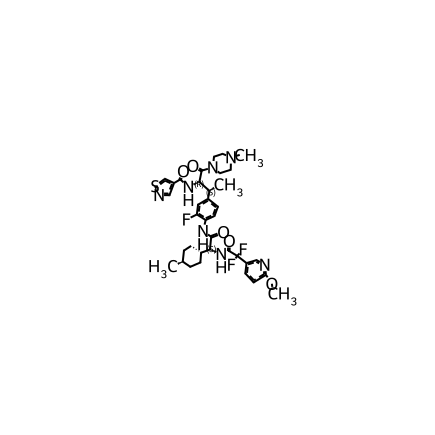 COc1ccc(C(F)(F)C(=O)N[C@H](C(=O)Nc2ccc([C@H](C)[C@@H](NC(=O)c3cnsc3)C(=O)N3CCN(C)CC3)cc2F)[C@H]2CC[C@H](C)CC2)cn1